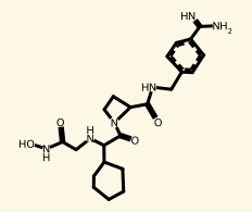 N=C(N)c1ccc(CNC(=O)C2CCN2C(=O)C(NCC(=O)NO)C2CCCCC2)cc1